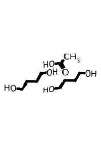 CC(=O)O.OCCCCO.OCCCCO